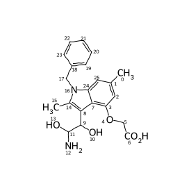 Cc1cc(OCC(=O)O)c2c(C(O)C(N)O)c(C)n(Cc3ccccc3)c2c1